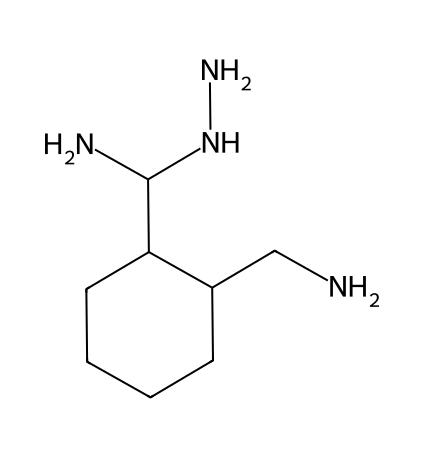 NCC1CCCCC1C(N)NN